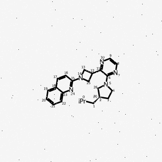 CC(C)C[C@@H]1CCN(c2nccnc2C2CN(c3ccc4ccccc4n3)C2)C1